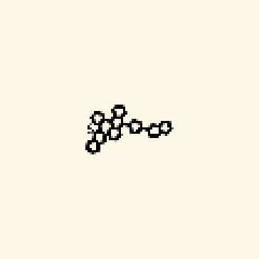 c1ccc2cc(-c3ccc(-c4c5ccccc5c(-c5cccc6sc7c8ccccc8ccc7c56)c5ccccc45)cc3)ccc2c1